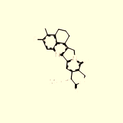 CO[C@@H]1C(=O)OCc2c1cc1n(c2=O)Cc2c-1nc1cc(F)c(C)c3c1c2CCC3